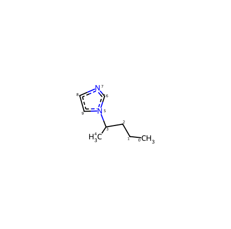 CCCC(C)n1[c]ncc1